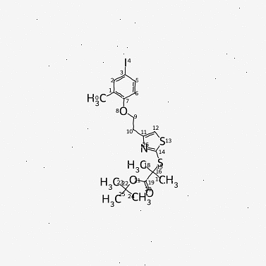 Cc1cc(I)ccc1OCCc1csc(SC(C)(C)C(=O)OC(C)(C)C)n1